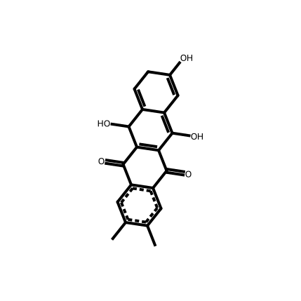 Cc1cc2c(cc1C)C(=O)C1=C(C2=O)C(O)=C2C=C(O)CC=C2C1O